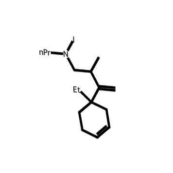 C=C(C(C)CN(I)CCC)C1(CC)CC=CCC1